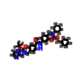 CC(C)(C)OC(=O)N(Cc1ccc(C(=O)Nc2ccc(CN(C(=O)OCc3ccccc3)C3CCCCC3)cc2)cc1)Cc1ncc[nH]1